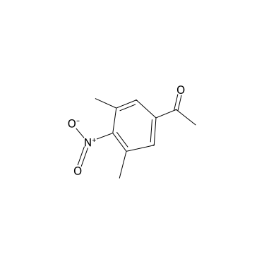 CC(=O)c1cc(C)c([N+](=O)[O-])c(C)c1